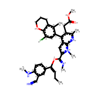 CC/C=C(/O/C(=N\C)c1cc2c(-c3cc(F)c4c(c3C)CCCO4)c(CC(=O)OC)c(C)nc2n1C)c1ccc(NC)c(C=N)c1